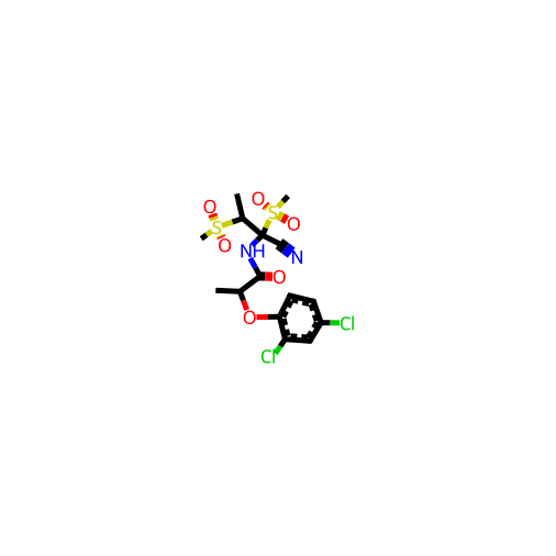 CC(Oc1ccc(Cl)cc1Cl)C(=O)NC(C#N)(C(C)S(C)(=O)=O)S(C)(=O)=O